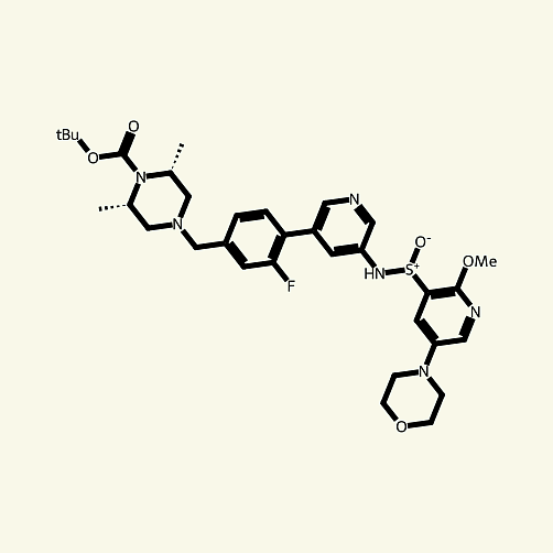 COc1ncc(N2CCOCC2)cc1[S+]([O-])Nc1cncc(-c2ccc(CN3C[C@@H](C)N(C(=O)OC(C)(C)C)[C@@H](C)C3)cc2F)c1